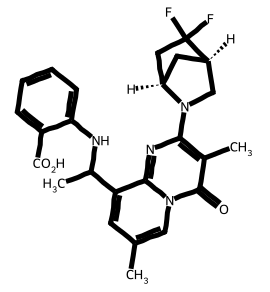 Cc1cc(C(C)Nc2ccccc2C(=O)O)c2nc(N3C[C@H]4C[C@@H]3CC4(F)F)c(C)c(=O)n2c1